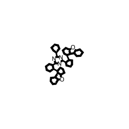 c1ccc(-c2nc(-c3ccccc3-c3cccc4oc5ccccc5c34)nc(-c3ccccc3-c3cccc4oc5ccccc5c34)n2)cc1